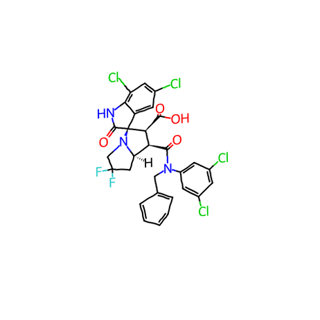 O=C(O)[C@H]1[C@@H](C(=O)N(Cc2ccccc2)c2cc(Cl)cc(Cl)c2)[C@H]2CC(F)(F)CN2[C@]12C(=O)Nc1c(Cl)cc(Cl)cc12